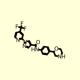 O=C(Nc1ccc(C2CNCCO2)cc1)c1cnn(-c2cc(C(F)(F)F)ccn2)c1